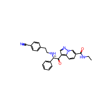 CCNC(=O)c1ccc2c(C(=O)[C@H](NCCc3ccc(C#N)cc3)c3ccccc3)cnn2c1